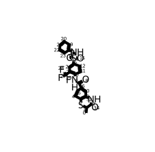 CC1Sc2ccc(C(=O)Nc3ccc(S(=O)(=O)Nc4ccccc4)cc3C(F)(F)F)cc2NC1=O